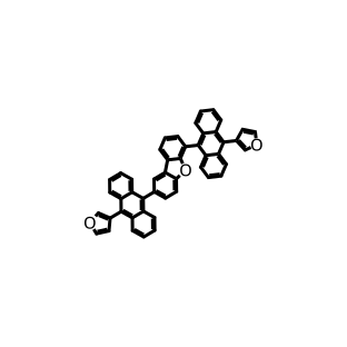 c1ccc2c(-c3ccc4oc5c(-c6c7ccccc7c(-c7ccoc7)c7ccccc67)cccc5c4c3)c3ccccc3c(-c3ccoc3)c2c1